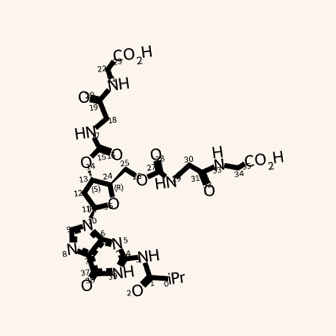 CC(C)C(=O)Nc1nc2c(ncn2[C@H]2C[C@H](OC(=O)NCC(=O)NCC(=O)O)[C@@H](COC(=O)NCC(=O)NCC(=O)O)O2)c(=O)[nH]1